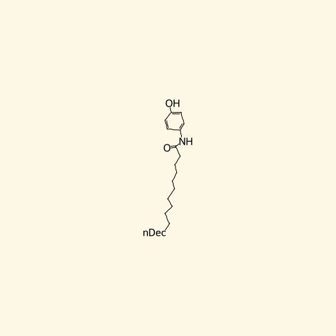 CCCCCCCCCCCCCCCCCCCC(=O)Nc1ccc(O)cc1